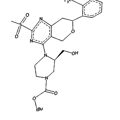 CC(C)(C)OC(=O)N1CCN(c2nc(S(C)(=O)=O)nc3c2COC(c2ccccc2C(F)(F)F)C3)[C@@H](CO)C1